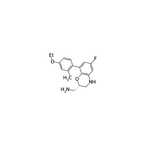 CCOc1ccc(-c2cc(F)cc3c2O[C@@H](CN)CN3)c(C)c1